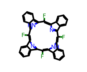 Fc1c2nc(c(F)c3[nH]c(c(F)c4nc(c(F)c5[nH]c1c1ccccc51)-c1ccccc1-4)c1ccccc31)-c1ccccc1-2